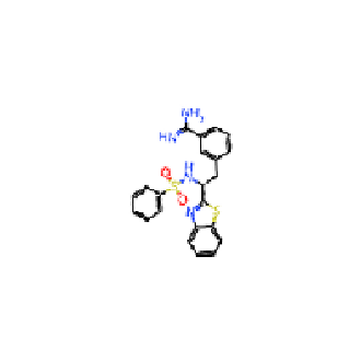 N=C(N)c1cccc(C[C@H](NS(=O)(=O)c2ccccc2)c2nc3ccccc3s2)c1